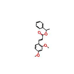 COc1ccc(C=CC(=O)OC(C)c2ccccc2)c(OC)c1